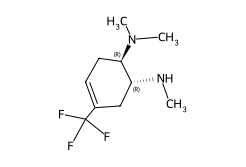 CN[C@@H]1CC(C(F)(F)F)=CC[C@H]1N(C)C